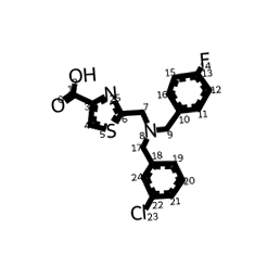 O=C(O)c1csc(CN(Cc2ccc(F)cc2)Cc2cccc(Cl)c2)n1